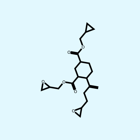 C=C(CCC1CO1)C1CCC(C(=O)OCC2CC2)CC1C(=O)OCC1CO1